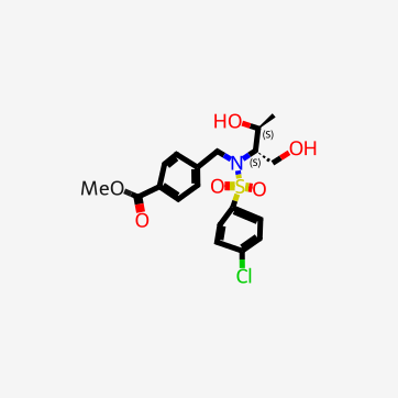 COC(=O)c1ccc(CN([C@@H](CO)[C@H](C)O)S(=O)(=O)c2ccc(Cl)cc2)cc1